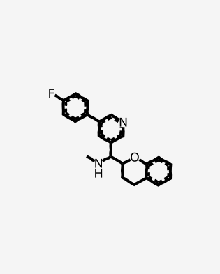 CNC(c1cncc(-c2ccc(F)cc2)c1)C1CCc2ccccc2O1